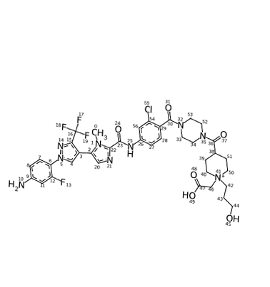 Cn1c(-c2cn(-c3ccc(N)cc3F)nc2C(F)(F)F)cnc1C(=O)Nc1ccc(C(=O)N2CCN(C(=O)C3CC[N+](CCCO)(CC(=O)O)CC3)CC2)c(Cl)c1